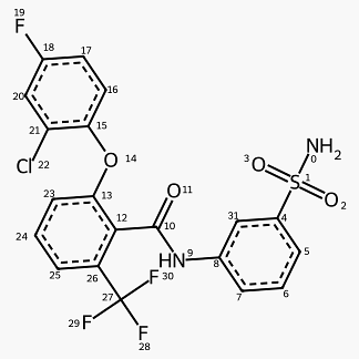 NS(=O)(=O)c1cccc(NC(=O)c2c(Oc3ccc(F)cc3Cl)cccc2C(F)(F)F)c1